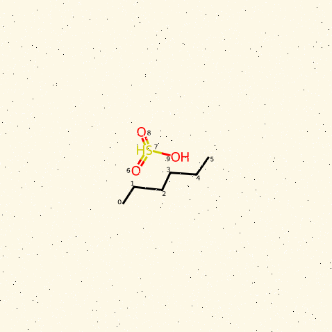 CCCCCC.O=[SH](=O)O